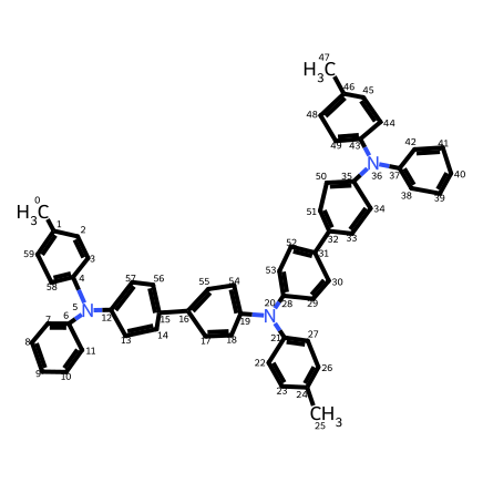 Cc1ccc(N(c2ccccc2)c2ccc(-c3ccc(N(c4ccc(C)cc4)c4ccc(-c5ccc(N(c6ccccc6)c6ccc(C)cc6)cc5)cc4)cc3)cc2)cc1